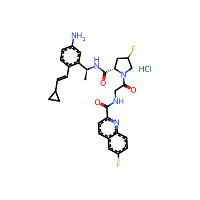 C[C@H](NC(=O)[C@@H]1C[C@@H](F)CN1C(=O)CNC(=O)c1ccc2cc(F)ccc2n1)c1cc(N)ccc1/C=C/C1CC1.Cl